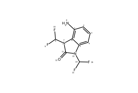 Nc1cccc2c1n(C(F)F)c(=O)n2C(F)F